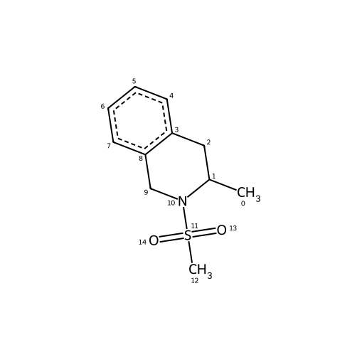 CC1Cc2ccccc2CN1S(C)(=O)=O